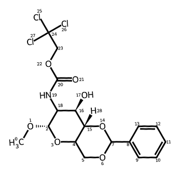 CO[C@H]1OC2COC(c3ccccc3)O[C@H]2[C@H](O)C1NC(=O)OCC(Cl)(Cl)Cl